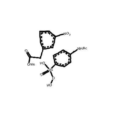 CC(=O)Nc1ccc([As](=O)(O)OO)cc1.COC(=O)Cc1cccc([N+](=O)[O-])c1